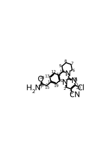 N#Cc1cnc(N2CCCCC2c2ccc([CH]C(N)=O)cc2)nc1Cl